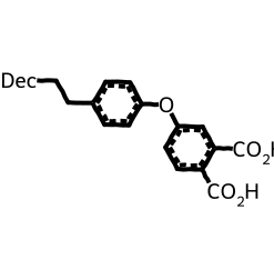 CCCCCCCCCCCCc1ccc(Oc2ccc(C(=O)O)c(C(=O)O)c2)cc1